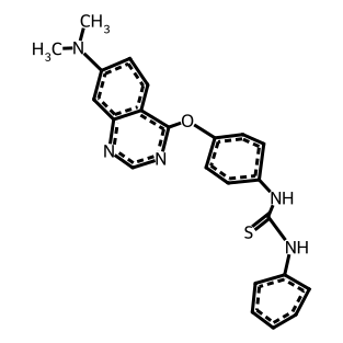 CN(C)c1ccc2c(Oc3ccc(NC(=S)Nc4ccccc4)cc3)ncnc2c1